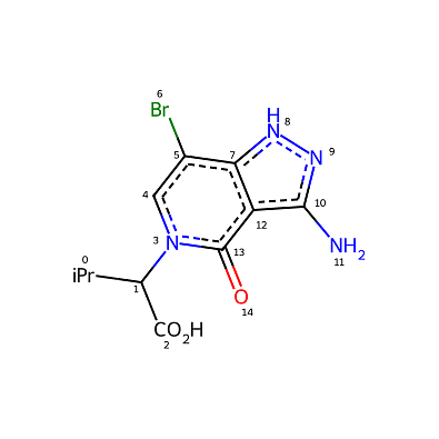 CC(C)C(C(=O)O)n1cc(Br)c2[nH]nc(N)c2c1=O